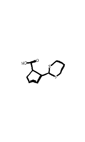 O=C(O)C1CC=CC1C1SCCCS1